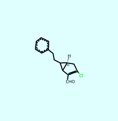 O=CC1=C(Cl)C[C@@H]2C(CCc3ccccc3)C12